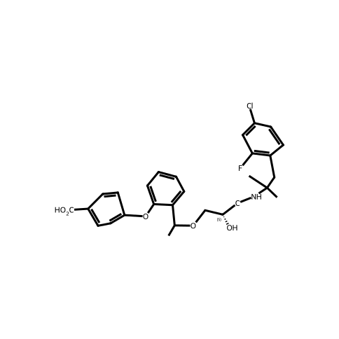 CC(OC[C@@H](O)CNC(C)(C)Cc1ccc(Cl)cc1F)c1ccccc1Oc1ccc(C(=O)O)cc1